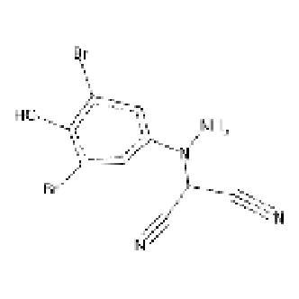 N#CC(C#N)N(N)c1cc(Br)c(O)c(Br)c1